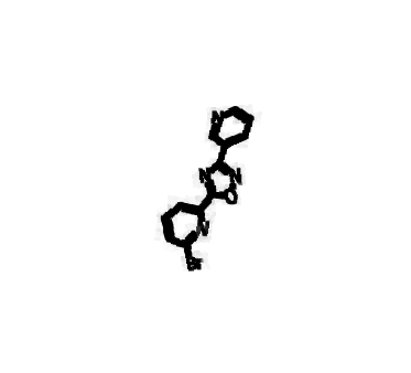 Brc1cccc(-c2nc(-c3cccnc3)no2)n1